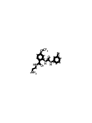 NCCNC(=O)c1ccc(OC(F)(F)F)cc1NC(=O)Nc1cccc(Br)c1